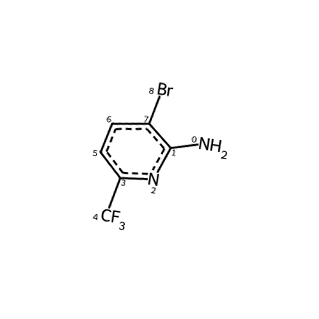 Nc1nc(C(F)(F)F)ccc1Br